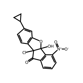 O=C1c2cccc([N+](=O)[O-])c2C2(O)Oc3cc(C4CC4)ccc3C12Cl